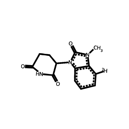 [2H]c1cccc2c1n(C)c(=O)n2C1CCC(=O)NC1=O